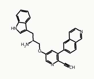 C#Cc1ncc(OC[C@@H](N)Cc2c[nH]c3ccccc23)cc1-c1ccc2cnccc2c1